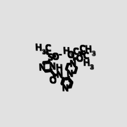 CC[S+]([O-])c1cncc(C(=O)Nc2cnccc2N2CCN(C(=O)OC(C)(C)C)CC2)n1